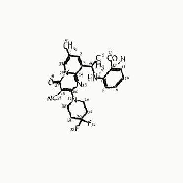 Cc1cc(C(C)Nc2ccccc2C(=O)O)c2nc(N3CCC(F)(F)CC3)c(C#N)c(=O)n2c1